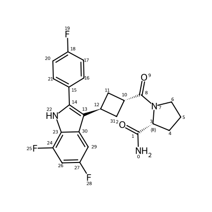 NC(=O)[C@H]1CCCN1C(=O)[C@H]1C[C@H](c2c(-c3ccc(F)cc3)[nH]c3c(F)cc(F)cc32)C1